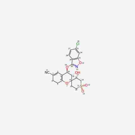 N#CC1=CC2=C(CC1)OC1(CCS(=O)(=O)CC1)[C@@H](O)[C@@H]2Oc1noc2cc(Cl)ccc12